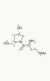 CNCC[C@H](N)C(=O)N1C[C@@H](O)C[C@H]1CO